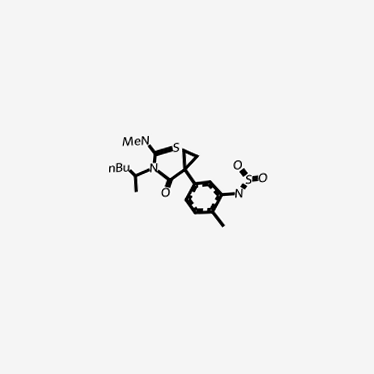 CCCCC(C)N(C(=O)C1(c2ccc(C)c(N=S(=O)=O)c2)CC1)C(=S)NC